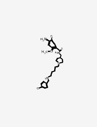 COc1cc(N)c(Cl)cc1C(=O)NCC1CCN(CCCCCNCc2ccc(Cl)cc2)CC1